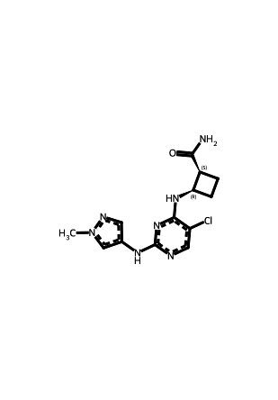 Cn1cc(Nc2ncc(Cl)c(N[C@@H]3CC[C@@H]3C(N)=O)n2)cn1